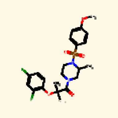 CC1CN(C(=O)C(C)(C)Oc2ccc(F)cc2F)CCN1S(=O)(=O)c1ccc(OC(F)(F)F)cc1